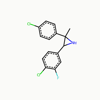 CC1(c2ccc(Cl)cc2)NC1c1ccc(Cl)c(F)c1